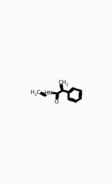 C=CNC(=O)C(=C)c1ccccc1